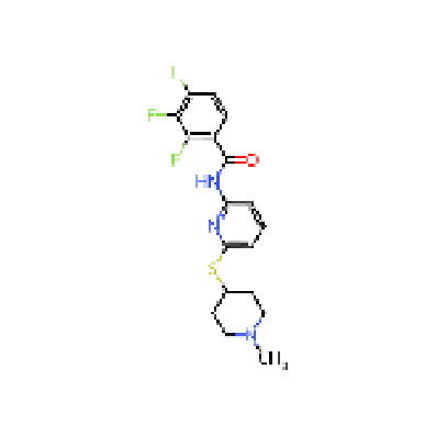 CN1CCC(Sc2cccc(NC(=O)c3ccc(F)c(F)c3F)n2)CC1